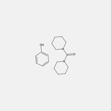 O=C(N1CCCCC1)N1CCCCC1.Oc1ccccc1